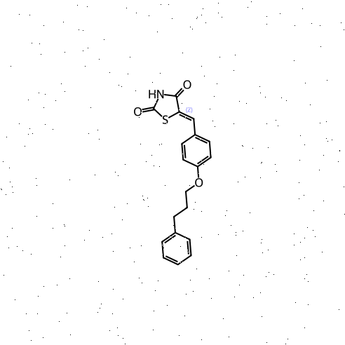 O=C1NC(=O)/C(=C/c2ccc(OCCCc3ccccc3)cc2)S1